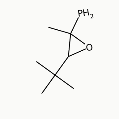 CC(C)(C)C1OC1(C)P